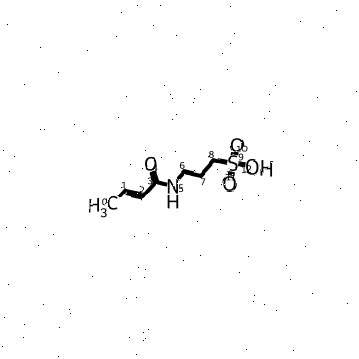 CC=CC(=O)NCCCS(=O)(=O)O